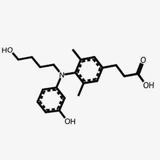 Cc1cc(CCC(=O)O)cc(C)c1N(CCCCO)c1cccc(O)c1